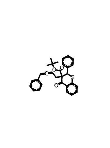 CC(C)(C)OC(=O)C1(CC=C=Cc2ccccc2)C(=O)c2ccccc2SC1c1ccccc1